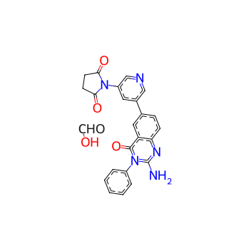 Nc1nc2ccc(-c3cncc(N4C(=O)CCC4=O)c3)cc2c(=O)n1-c1ccccc1.O=CO